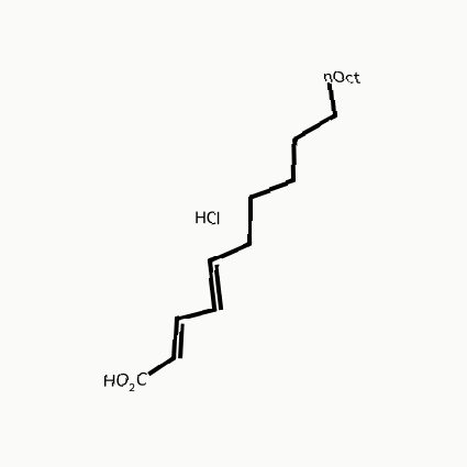 CCCCCCCCCCCCCC=CC=CC(=O)O.Cl